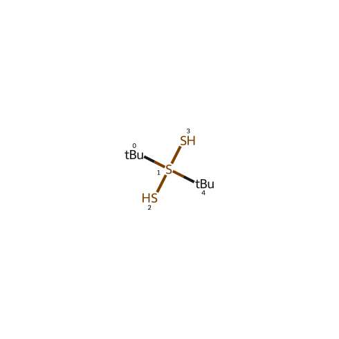 CC(C)(C)S(S)(S)C(C)(C)C